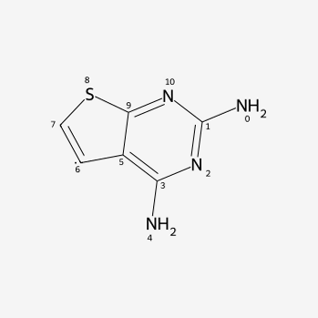 Nc1nc(N)c2[c]csc2n1